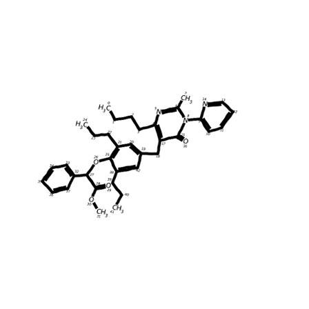 CCCCc1nc(C)n(-c2ccccn2)c(=O)c1Cc1cc(CCC)c(OC(C(=O)OC)c2ccccc2)c(CCC)c1